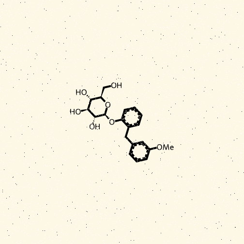 COc1cccc(Cc2ccccc2O[C@@H]2O[C@H](CO)[C@@H](O)[C@H](O)[C@H]2O)c1